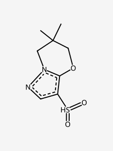 CC1(C)COc2c([SH](=O)=O)cnn2C1